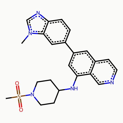 Cn1cnc2ccc(-c3cc(NC4CCN(S(C)(=O)=O)CC4)c4cnccc4c3)cc21